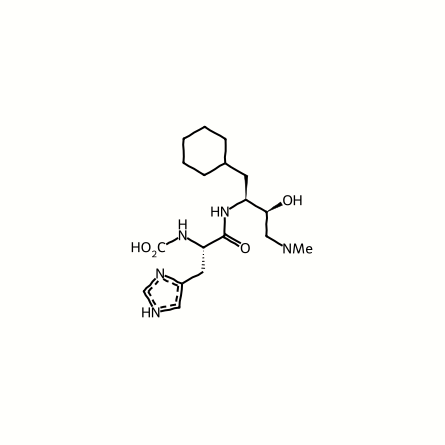 CNC[C@H](O)[C@H](CC1CCCCC1)NC(=O)[C@H](Cc1c[nH]cn1)NC(=O)O